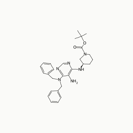 CC(C)(C)OC(=O)N1CCC[C@@H](Nc2ncnc(N(Cc3ccccc3)Cc3ccccc3)c2N)C1